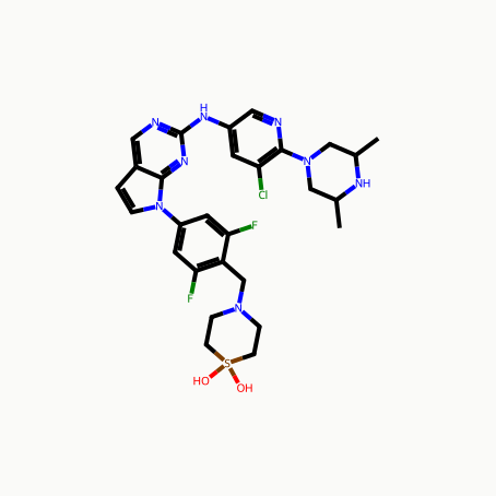 CC1CN(c2ncc(Nc3ncc4ccn(-c5cc(F)c(CN6CCS(O)(O)CC6)c(F)c5)c4n3)cc2Cl)CC(C)N1